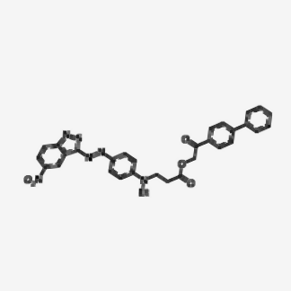 CCN(CCC(=O)OCC(=O)c1ccc(-c2ccccc2)cc1)c1ccc(N=Nc2snc3ccc([N+](=O)[O-])cc23)cc1